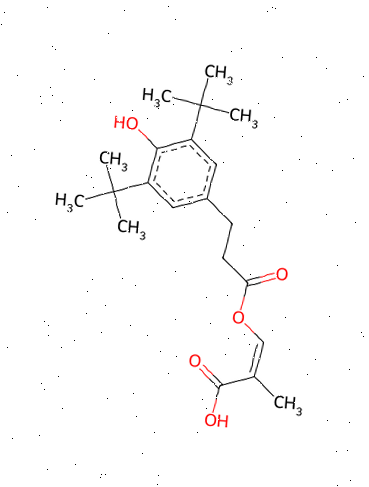 CC(=COC(=O)CCc1cc(C(C)(C)C)c(O)c(C(C)(C)C)c1)C(=O)O